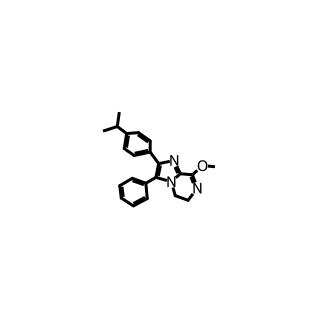 COC1=NCCn2c1nc(-c1ccc(C(C)C)cc1)c2-c1ccccc1